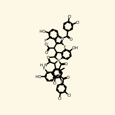 CC1=C(C(C(=O)[O-])c2c(C)n(C(=O)c3ccc(Cl)c(Cl)c3)c3ccc(O)c(F)c23)c2c(ccc(O)c2F)[N+]1(C(=O)c1ccc(Cl)c(Cl)c1)C(C(N)=O)c1c(C)n(C(=O)c2ccc(Cl)c(Cl)c2)c2ccc(O)c(F)c12